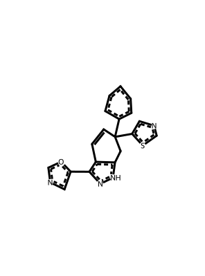 C1=CC(c2ccccc2)(c2cncs2)Cc2[nH]nc(-c3cnco3)c21